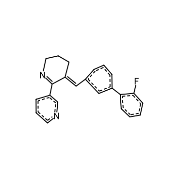 Fc1ccccc1-c1cccc(C=C2CCCN=C2c2cccnc2)c1